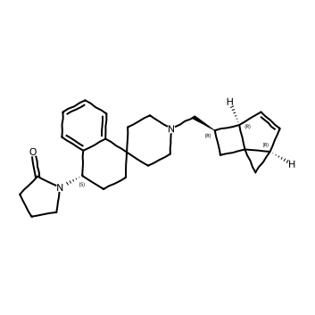 O=C1CCCN1[C@H]1CCC2(CCN(C[C@@H]3CC45C[C@@H]4C=C[C@H]35)CC2)c2ccccc21